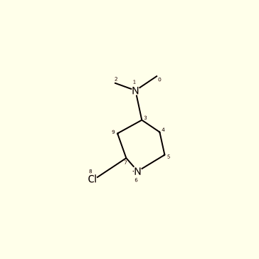 CN(C)C1CC[N]C(Cl)C1